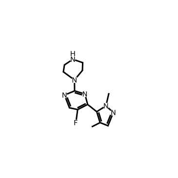 Cc1cnn(C)c1-c1nc(N2CCNCC2)ncc1F